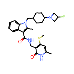 CSc1cc(C)[nH]c(=O)c1CNC(=O)c1c(C)n(CC2CCC(N3CC(F)C3)CC2)c2ccccc12